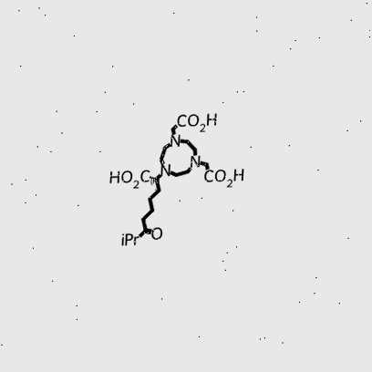 CC(C)C(=O)CCCC[C@H](C(=O)O)N1CCN(CC(=O)O)CCN(CC(=O)O)CC1